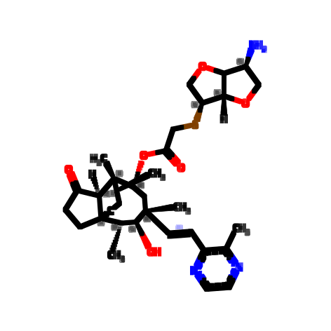 Cc1nccnc1/C=C/[C@@]1(C)C[C@@H](OC(=O)CS[C@H]2COC3[C@@H](N)CO[C@@H]32)[C@]2(C)[C@H](C)CC[C@]3(CCC(=O)[C@H]32)[C@@H](C)[C@@H]1O